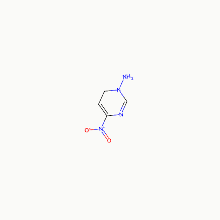 NN1C=NC([N+](=O)[O-])=CC1